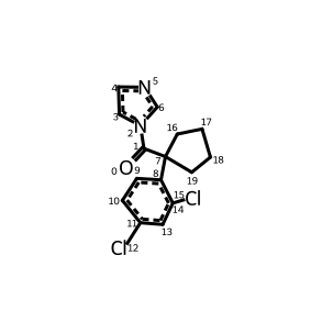 O=C(n1ccnc1)C1(c2ccc(Cl)cc2Cl)CCCC1